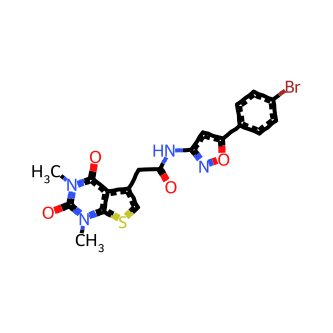 Cn1c(=O)c2c(CC(=O)Nc3cc(-c4ccc(Br)cc4)on3)csc2n(C)c1=O